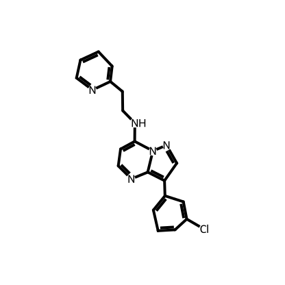 Clc1cccc(-c2cnn3c(NCCc4ccccn4)ccnc23)c1